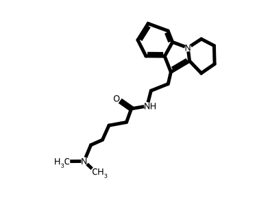 CN(C)CCCCC(=O)NCCc1c2n(c3ccccc13)CCCC2